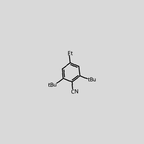 CCc1cc(C(C)(C)C)c(C#N)c(C(C)(C)C)c1